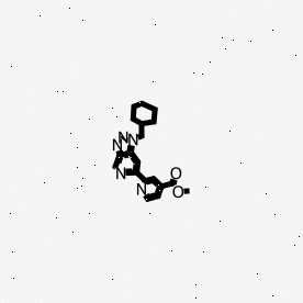 COC(=O)c1ccnc(-c2cc3c(cn2)nnn3CC2CCCCC2)c1